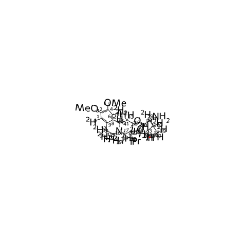 [2H]c1c(OC)c(OC)c([2H])c2c1C([2H])([2H])C([2H])([2H])N1C([2H])([2H])C([2H])(CC(C)C)C(OC(=O)[C@@]([2H])(N)C([2H])(C([2H])([2H])[2H])C([2H])([2H])[2H])C([2H])([2H])C21[2H]